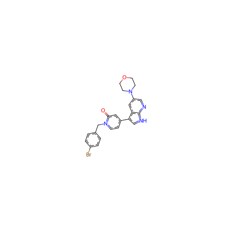 O=c1cc(-c2c[nH]c3ncc(N4CCOCC4)cc23)ccn1Cc1ccc(Br)cc1